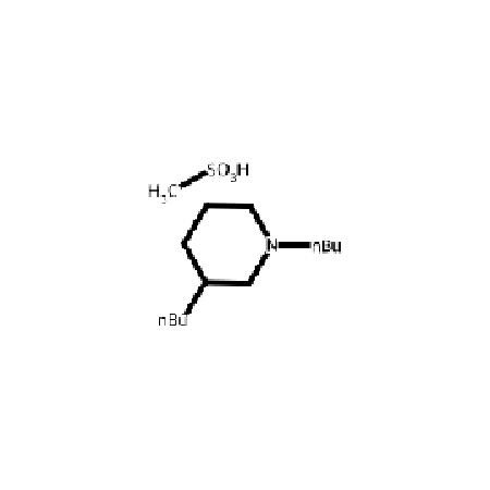 CCCCC1CCCN(CCCC)C1.CS(=O)(=O)O